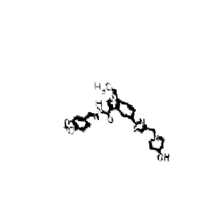 CCn1cc(C(=O)N/N=C/c2ccc3c(c2)OCO3)c2cc(-c3nc(CN4CCC(O)CC4)cs3)ccc21